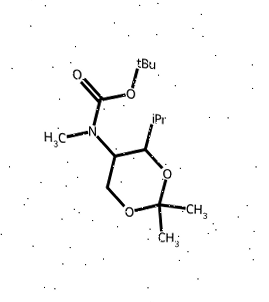 CC(C)C1OC(C)(C)OCC1N(C)C(=O)OC(C)(C)C